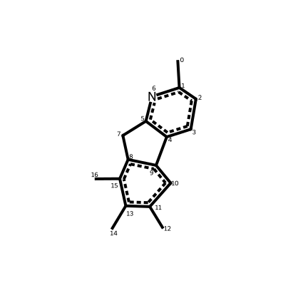 Cc1ccc2c(n1)Cc1c-2cc(C)c(C)c1C